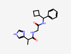 CC(C(=O)NCC(=O)NC(c1ccccc1)C1CCC1)c1c[nH]cn1